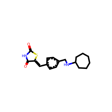 O=C1NC(=O)C(=Cc2ccc(CNC3CCCCCC3)cc2)S1